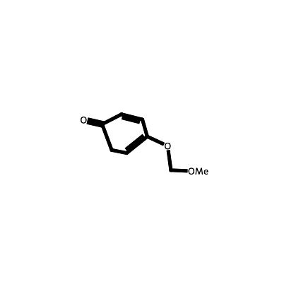 COCOC1=CCC(=O)C=C1